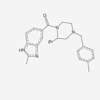 Cc1ccc(CN2CCN(C(=O)c3ccc4[nH]c(C)nc4c3)C(C(C)C)C2)cc1